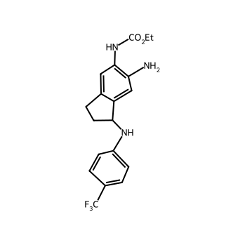 CCOC(=O)Nc1cc2c(cc1N)C(Nc1ccc(C(F)(F)F)cc1)CC2